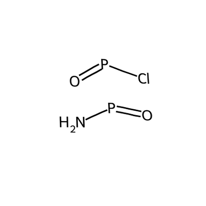 NP=O.O=PCl